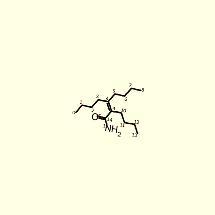 CCCCC(CCCC)=C(CCCC)C(N)=O